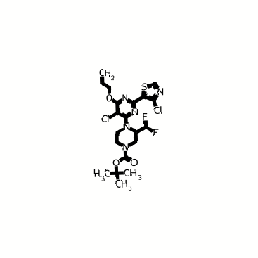 C=CCOc1nc(-c2scnc2Cl)nc(N2CCN(C(=O)OC(C)(C)C)CC2C(F)F)c1Cl